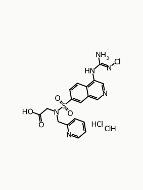 Cl.Cl.NC(=NCl)Nc1cncc2cc(S(=O)(=O)N(CC(=O)O)Cc3ccccn3)ccc12